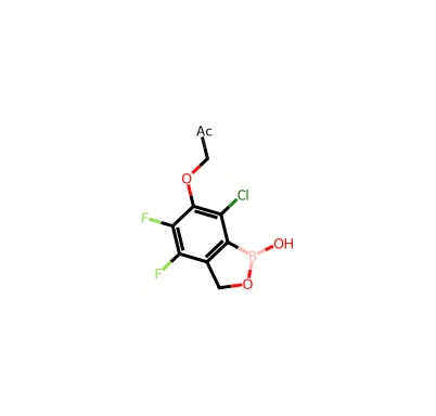 CC(=O)COc1c(F)c(F)c2c(c1Cl)B(O)OC2